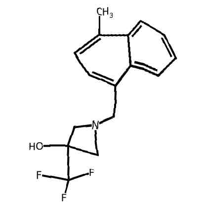 Cc1ccc(CN2CC(O)(C(F)(F)F)C2)c2ccccc12